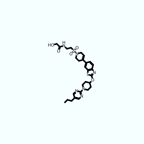 CCCc1cnc(N2CCC(Oc3nc4ccc(C5=CCN(S(=O)(=O)CCNC(=O)CO)CC5)cc4s3)CC2)nc1